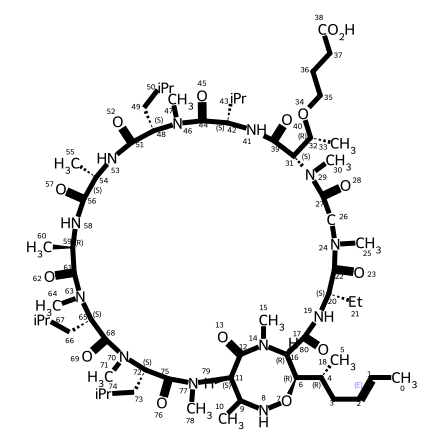 C/C=C/C[C@@H](C)[C@H]1ONC(C)[C@H]2C(=O)N(C)[C@H]1C(=O)N[C@@H](CC)C(=O)N(C)CC(=O)N(C)[C@@H]([C@@H](C)OCCCC(=O)O)C(=O)N[C@@H](C(C)C)C(=O)N(C)[C@@H](CC(C)C)C(=O)N[C@@H](C)C(=O)N[C@H](C)C(=O)N(C)[C@@H](CC(C)C)C(=O)N(C)[C@@H](CC(C)C)C(=O)N2C